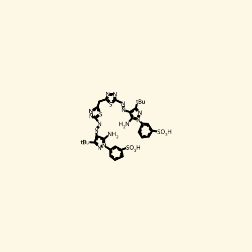 CC(C)(C)c1nn(-c2cccc(S(=O)(=O)O)c2)c(N)c1N=Nc1nnc(Cc2nnc(N=Nc3c(C(C)(C)C)nn(-c4cccc(S(=O)(=O)O)c4)c3N)s2)s1